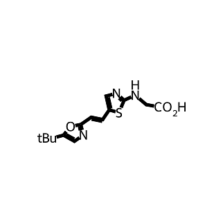 CC(C)(C)c1cnc(C=Cc2cnc(NCC(=O)O)s2)o1